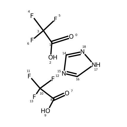 O=C(O)C(F)(F)F.O=C(O)C(F)(F)F.c1nc[nH]n1